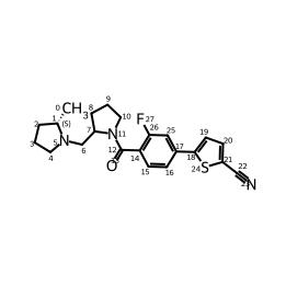 C[C@H]1CCCN1CC1CCCN1C(=O)c1ccc(-c2ccc(C#N)s2)cc1F